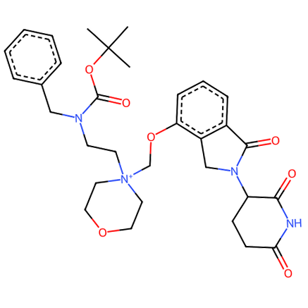 CC(C)(C)OC(=O)N(CC[N+]1(COc2cccc3c2CN(C2CCC(=O)NC2=O)C3=O)CCOCC1)Cc1ccccc1